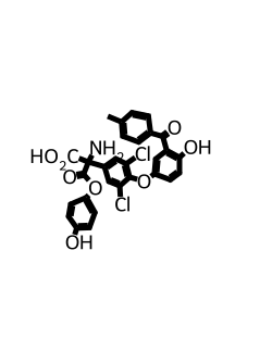 Cc1ccc(C(=O)c2cc(Oc3c(Cl)cc(C(N)(C(=O)O)C(=O)Oc4ccc(O)cc4)cc3Cl)ccc2O)cc1